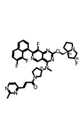 Cc1nccc(C=CC(=O)N2CC[C@@H](N(C)c3nc(OC[C@@]45CCCN4C[C@H](F)C5)nc4c(F)c(-c5cccc6ccc(F)c(F)c56)ncc34)C2)n1